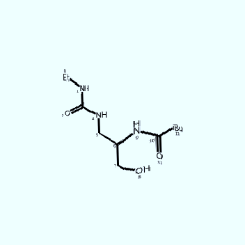 CCNC(=O)NCC(CO)NC(=O)C(C)CC